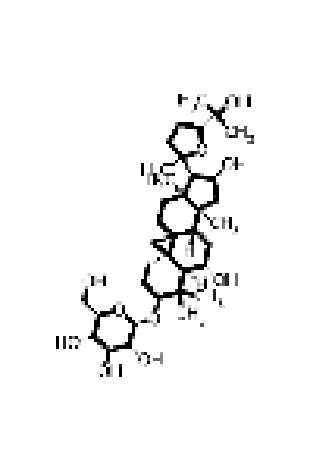 CC(C)(O)[C@H]1CC[C@@](C)([C@H]2[C@@H](O)C[C@@]3(C)[C@@H]4C[C@H](O)[C@H]5C(C)(C)[C@@H](O[C@@H]6O[C@H](CO)[C@@H](O)[C@H](O)[C@H]6O)CC[C@@]56C[C@@]46CC[C@]23C)O1